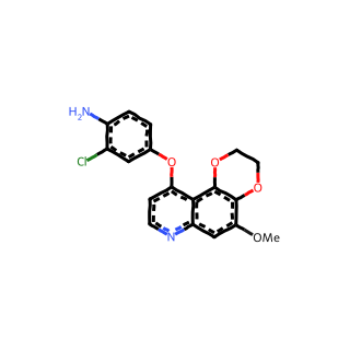 COc1cc2nccc(Oc3ccc(N)c(Cl)c3)c2c2c1OCCO2